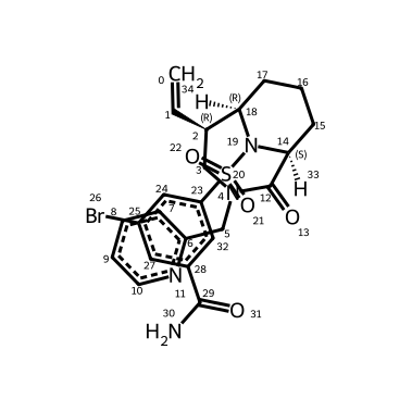 C=C[C@@H]1CN(Cc2ccccn2)C(=O)[C@@H]2CCC[C@H]1N2S(=O)(=O)c1cc(Br)cc(C(N)=O)c1